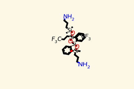 C[Si](C)(CCCN)O[Si](CCC(F)(F)F)(CCC(F)(F)F)O[Si](O[Si](C)(C)CCCN)(c1ccccc1)c1ccccc1